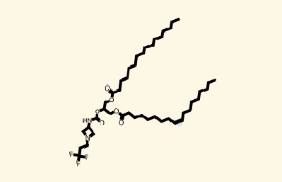 CCCCCCCC/C=C\CCCCCCCC(=O)OCC(COC(=O)CCCCCCCCCCCCCCC)OC(=O)NC1CN(CCC(F)(F)F)C1